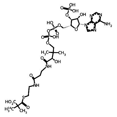 CC([14CH3])(C(=O)O)C(=O)SCCNC(=O)CCNC(=O)[C@H](O)C(C)(C)COP(=O)(O)OP(=O)(O)OC[C@H]1O[C@@H](n2cnc3c(N)ncnc32)[C@H](O)[C@@H]1OP(=O)(O)O